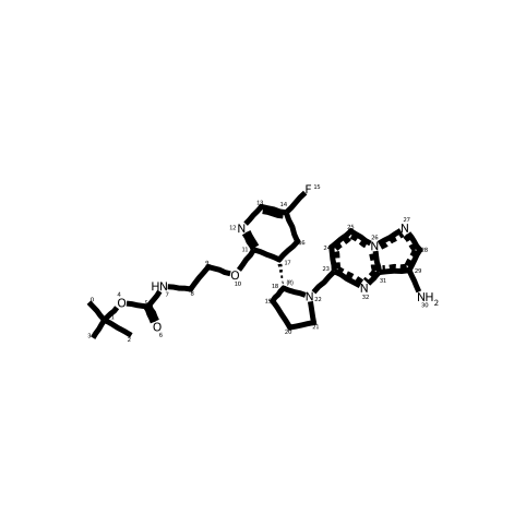 CC(C)(C)OC(=O)NCCOC1=NC=C(F)CC1[C@H]1CCCN1c1ccn2ncc(N)c2n1